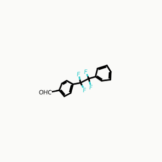 O=Cc1ccc(C(F)(F)C(F)(F)c2ccccc2)cc1